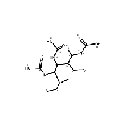 CCC(C)C(NC(=O)O)C(NC(=O)O)C(CC)C(C)NC(=O)O